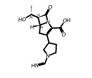 C[C@@H](O)[C@H]1C(=O)N2C(C(=O)O)=C(C3CCN(C=N)C3)C[C@H]12